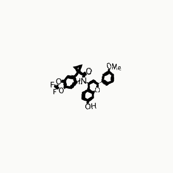 COc1cccc([C@H]2C[C@@H](NC(=O)C3(c4ccc5c(c4)OC(F)(F)O5)CC3)c3ccc(O)cc3O2)c1